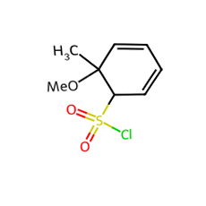 COC1(C)C=CC=CC1S(=O)(=O)Cl